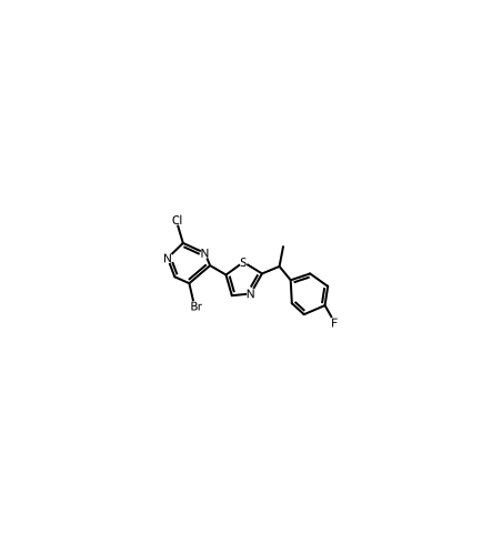 CC(c1ccc(F)cc1)c1ncc(-c2nc(Cl)ncc2Br)s1